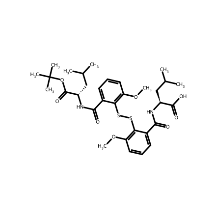 COc1cccc(C(=O)N[C@@H](CC(C)C)C(=O)O)c1SSc1c(OC)cccc1C(=O)N[C@@H](CC(C)C)C(=O)OC(C)(C)C